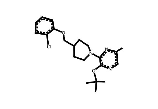 Cc1cnc(OC(C)(C)C)c(N2CCC(COc3ccccc3Cl)CC2)n1